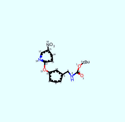 CC(C)(C)OC(=O)NCc1cccc(Oc2ccc([N+](=O)[O-])cn2)c1